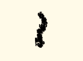 Cc1c(NC(=O)c2nc3c(n2C)CCN(C2CCC(F)(F)CC2)C3)cccc1-c1cccc(-c2nc3cc(COC(=O)[C@@H]4CCCN4)c(OC(F)F)cc3o2)c1C